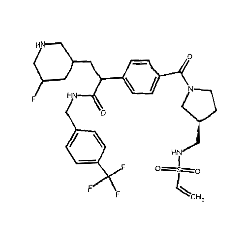 C=CS(=O)(=O)NC[C@@H]1CCN(C(=O)c2ccc(C(CC3CNCC(F)C3)C(=O)NCc3ccc(C(F)(F)F)cc3)cc2)C1